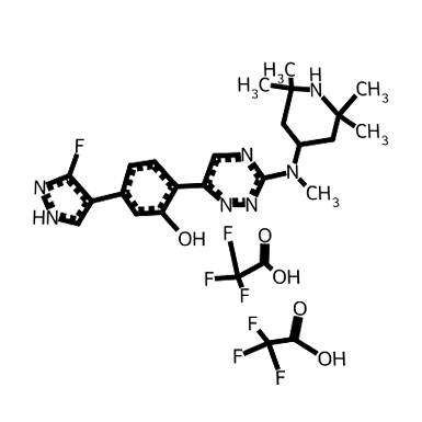 CN(c1ncc(-c2ccc(-c3c[nH]nc3F)cc2O)nn1)C1CC(C)(C)NC(C)(C)C1.O=C(O)C(F)(F)F.O=C(O)C(F)(F)F